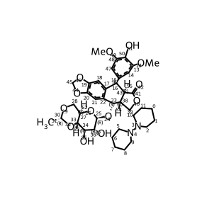 C1CCN(N2CCCCC2)CC1.COc1cc([C@@H]2c3cc4c(cc3[C@@H](O[C@@H]3O[C@@H]5CO[C@@H](C)O[C@H]5[C@H](O)[C@H]3O)[C@H]3COC(=O)[C@H]23)OCO4)cc(OC)c1O